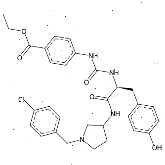 CCOC(=O)c1ccc(NC(=O)N[C@@H](Cc2ccc(O)cc2)C(=O)NC2CCN(Cc3ccc(Cl)cc3)C2)cc1